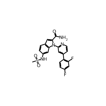 CS(=O)(=O)Nc1ccc2cc(C(N)=O)n(-c3cc(-c4ccc(F)cc4F)ccn3)c2c1